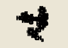 Cc1cc(COc2ccc(S(=O)(=O)CC3(CC(=O)NO)CC(c4ccncc4)=NO3)cc2)c2ccccc2n1.O=C(O)C(F)(F)F.O=C(O)C(F)(F)F